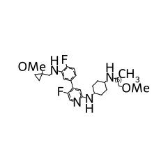 COC[C@H](C)N[C@H]1CC[C@H](Nc2cc(-c3ccc(F)c(NCC4(OC)CC4)c3)c(F)cn2)CC1